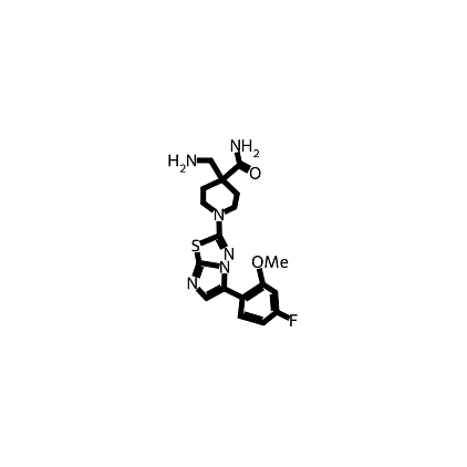 COc1cc(F)ccc1-c1cnc2sc(N3CCC(CN)(C(N)=O)CC3)nn12